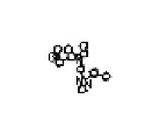 c1ccc(-c2cccc(-c3nc4ccccc4nc3-c3ccc(-n4c5ccc6ccccc6c5c5c6ccccc6c(-c6cccc7oc8ccccc8c67)cc54)cc3)c2)cc1